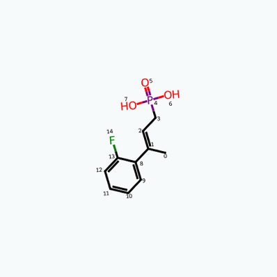 CC(=CCP(=O)(O)O)c1ccccc1F